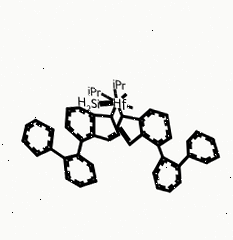 C[CH](C)[Hf]([CH3])([CH3])(=[SiH2])([CH](C)C)([CH]1C=Cc2c(-c3ccccc3-c3ccccc3)cccc21)[CH]1C=Cc2c(-c3ccccc3-c3ccccc3)cccc21